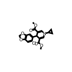 COC(=O)C1=CN(C2CC2)C=C(C(=O)OC)C1c1cc2c(cc1Cl)OCO2